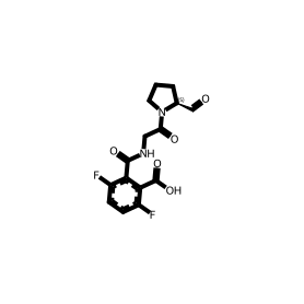 O=C[C@@H]1CCCN1C(=O)CNC(=O)c1c(F)ccc(F)c1C(=O)O